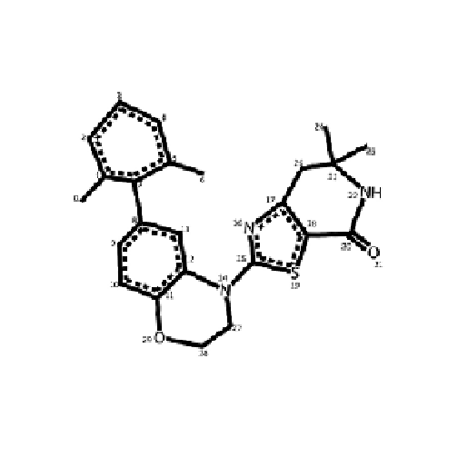 Cc1cccc(C)c1-c1ccc2c(c1)N(c1nc3c(s1)C(=O)NC(C)(C)C3)CCO2